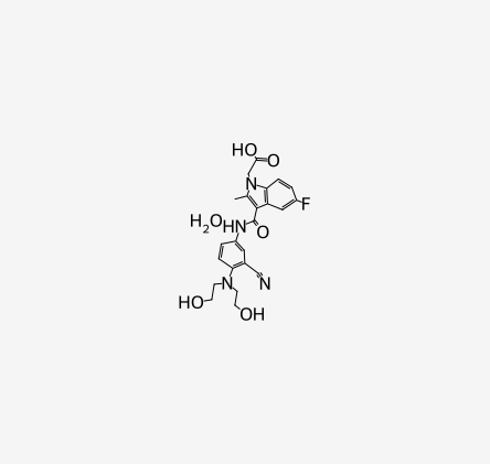 Cc1c(C(=O)Nc2ccc(N(CCO)CCO)c(C#N)c2)c2cc(F)ccc2n1CC(=O)O.O